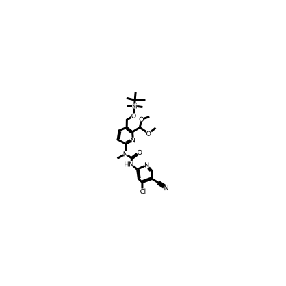 COC(OC)c1nc(N(C)C(=O)Nc2cc(Cl)c(C#N)cn2)ccc1CO[Si](C)(C)C(C)(C)C